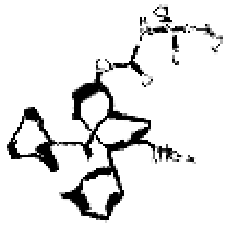 C=C(c1ccccc1)C12CCC(OC(=O)NS(N)(=O)=O)C1CC(CCCCCC)=C2c1ccccc1